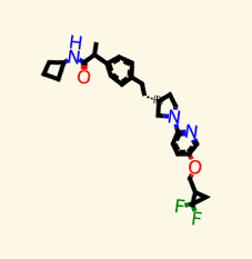 CC(C(=O)NC1CCC1)c1ccc(CC[C@@H]2CCN(c3ccc(OCC4CC4(F)F)cn3)C2)cc1